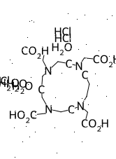 Cl.Cl.Cl.Cl.O.O.O.O.O=C(O)CN1CCCN(CC(=O)O)CCN(CC(=O)O)CCCN(CC(=O)O)CC1